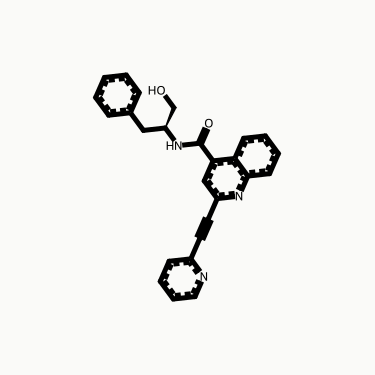 O=C(N[C@H](CO)Cc1ccccc1)c1cc(C#Cc2ccccn2)nc2ccccc12